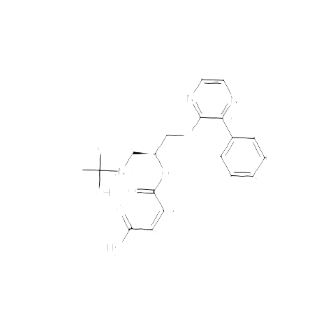 CC(C)(C)NC[C@@H](COc1nccnc1-c1ccccc1)OC(=O)/C=C\C(=O)O